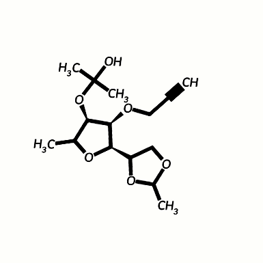 C#CCO[C@@H]1[C@H](OC(C)(C)O)C(C)O[C@@H]1C1COC(C)O1